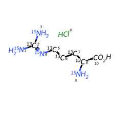 Cl.[15NH2][13C]([15NH2])=[15N][13CH2][13CH2][13CH2][13C@H]([15NH2])[13C](=O)O